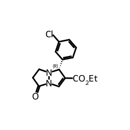 CCOC(=O)C1=CN2C(=O)CCN2[C@@H]1c1cccc(Cl)c1